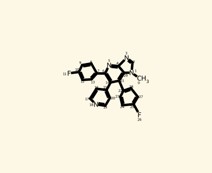 Cn1cnc2nc(-c3ccc(F)cc3)c(-c3ccncc3)c(-c3ccc(F)cc3)c21